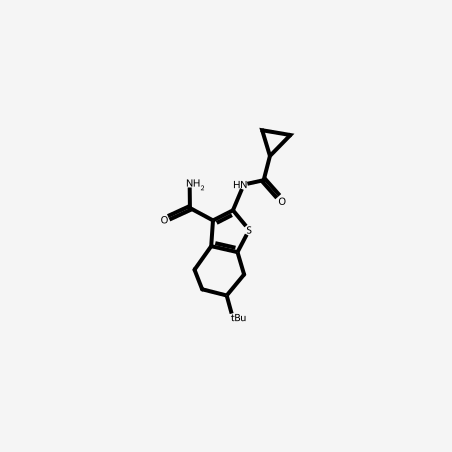 CC(C)(C)C1CCc2c(sc(NC(=O)C3CC3)c2C(N)=O)C1